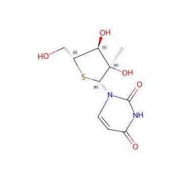 C[C@@]1(O)[C@H](O)[C@@H](CO)S[C@H]1n1ccc(=O)[nH]c1=O